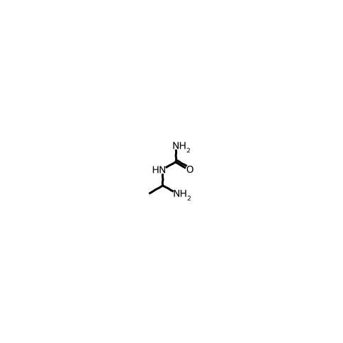 CC(N)NC(N)=O